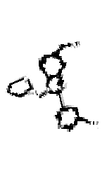 Cc1cncc(-c2nc3cc(CO)ccc3n2C[C@@H]2CCCO2)c1